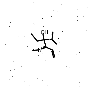 C=CC(=NC)C(O)(CC)C(C)C